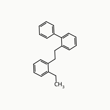 CCc1ccccc1CCc1ccccc1-c1ccccc1